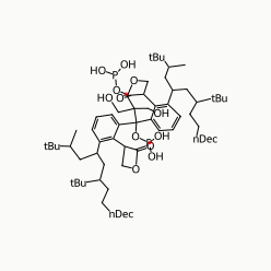 CCCCCCCCCCCCC(CC(CC(C)C(C)(C)C)c1cccc(C(OP(O)O)(c2cccc(C(CC(C)C(C)(C)C)CC(CCCCCCCCCCCC)C(C)(C)C)c2C2COC2=O)C(CO)(CO)COP(O)O)c1C1COC1=O)C(C)(C)C